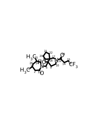 CC1CC(=O)N(CC2(O)CCN(C(=O)CCC(F)(F)F)CC23CCCC3)CC(C)C1